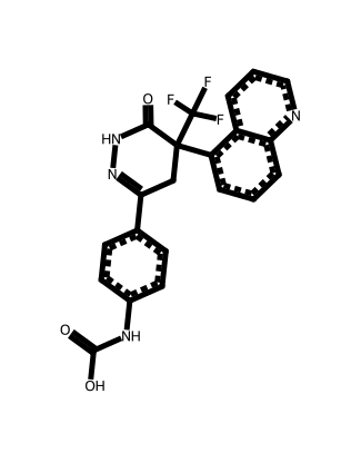 O=C(O)Nc1ccc(C2=NNC(=O)C(c3cccc4ncccc34)(C(F)(F)F)C2)cc1